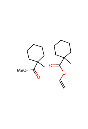 C=COC(=O)C1(C)CCCCC1.COC(=O)C1(C)CCCCC1